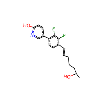 CC(O)CCCC=Cc1ccc(-c2ccc(O)nc2)c(F)c1F